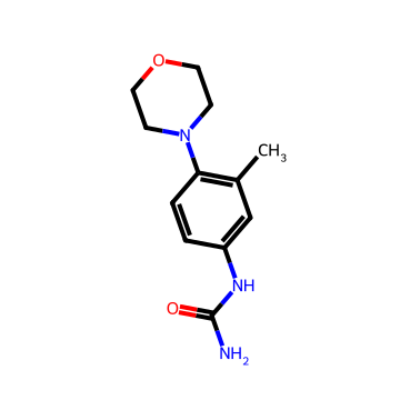 Cc1cc(NC(N)=O)ccc1N1CCOCC1